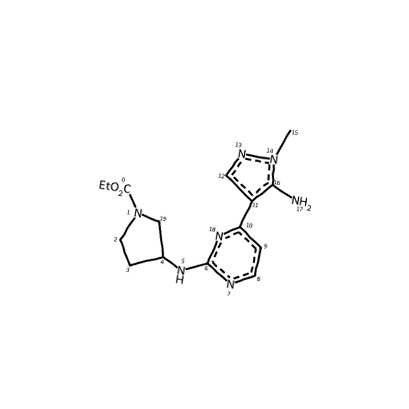 CCOC(=O)N1CCC(Nc2nccc(-c3cnn(C)c3N)n2)C1